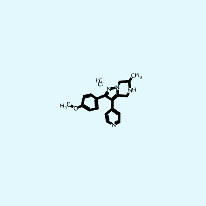 COc1ccc(-c2nn3c(c2-c2ccncc2)CNC(C)C3)cc1.[Cl-].[H+]